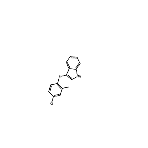 Cc1cc(Cl)ccc1Sc1c[nH]c2ccccc12